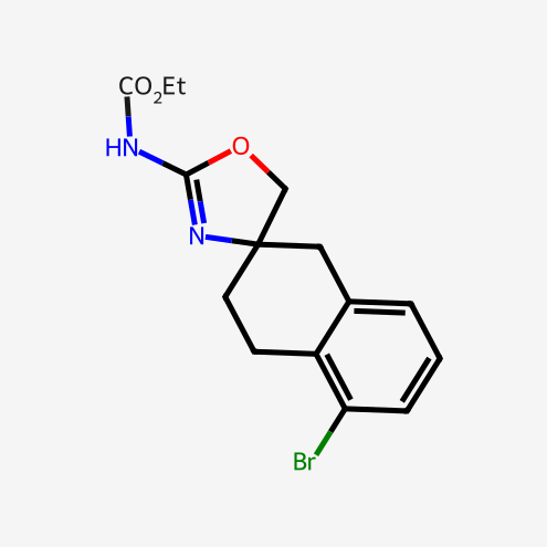 CCOC(=O)NC1=NC2(CCc3c(Br)cccc3C2)CO1